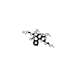 CCOC(=O)OC1=C(C)NC(CC)=C(OC(=O)OCC)C1c1ccccc1[N+](=O)[O-]